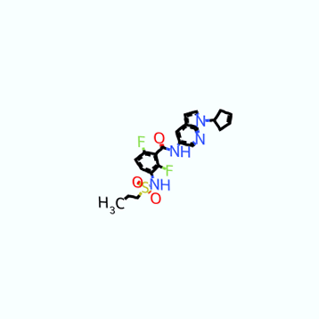 CCCS(=O)(=O)Nc1ccc(F)c(C(=O)Nc2cnc3c(ccn3C3CC=CC3)c2)c1F